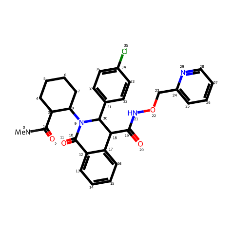 CNC(=O)C1CCCCC1N1C(=O)c2ccccc2C(C(=O)NOCc2ccccn2)C1c1ccc(Cl)cc1